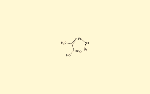 CC(=O)C(=O)O.CC(C)NC(C)C